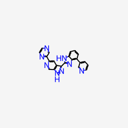 c1cncc(-c2cccc3[nH]c(-c4n[nH]c5cnc(-c6cnccn6)cc45)nc23)c1